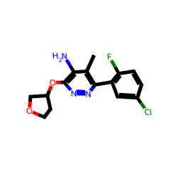 Cc1c(-c2cc(Cl)ccc2F)nnc(OC2CCOC2)c1N